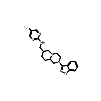 Cc1cnc(NCC2CCC3CN(c4noc5ccccc45)CCN3C2)nc1